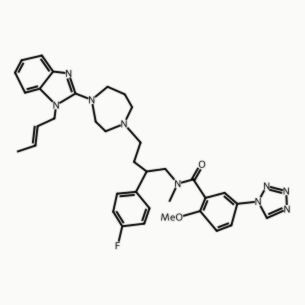 C/C=C/Cn1c(N2CCCN(CCC(CN(C)C(=O)c3cc(-n4cnnn4)ccc3OC)c3ccc(F)cc3)CC2)nc2ccccc21